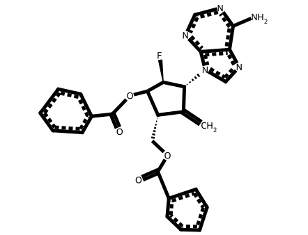 C=C1[C@@H](n2cnc3c(N)ncnc32)[C@H](F)C(OC(=O)c2ccccc2)[C@H]1COC(=O)c1ccccc1